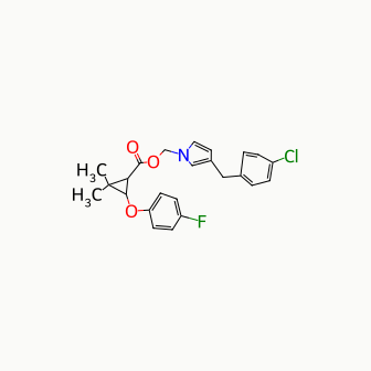 CC1(C)C(Oc2ccc(F)cc2)C1C(=O)OCn1ccc(Cc2ccc(Cl)cc2)c1